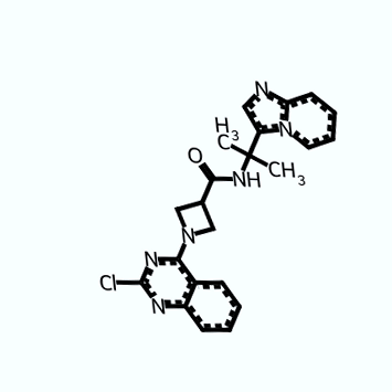 CC(C)(NC(=O)C1CN(c2nc(Cl)nc3ccccc23)C1)c1cnc2ccccn12